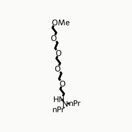 CCCN(CCC)NCCOCCOCCOCCOCCOC